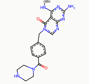 CCCCNc1nc(N)nc2ncn(Cc3ccc(C(=O)N4CCNCC4)cc3)c(=O)c12